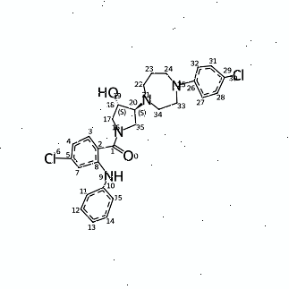 O=C(c1ccc(Cl)cc1Nc1ccccc1)N1C[C@H](O)[C@@H](N2CCCN(c3ccc(Cl)cc3)CC2)C1